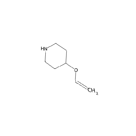 C=COC1CCNCC1